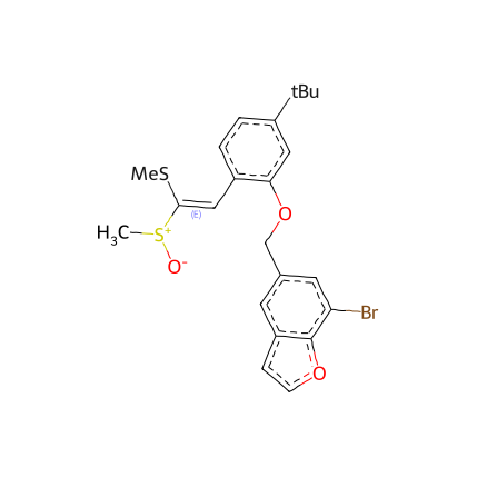 CS/C(=C\c1ccc(C(C)(C)C)cc1OCc1cc(Br)c2occc2c1)[S+](C)[O-]